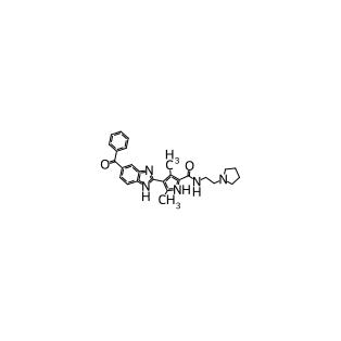 Cc1[nH]c(C(=O)NCCN2CCCC2)c(C)c1-c1nc2cc(C(=O)c3ccccc3)ccc2[nH]1